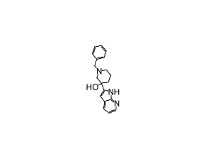 OC1(c2cc3cccnc3[nH]2)CCCN(Cc2ccccc2)C1